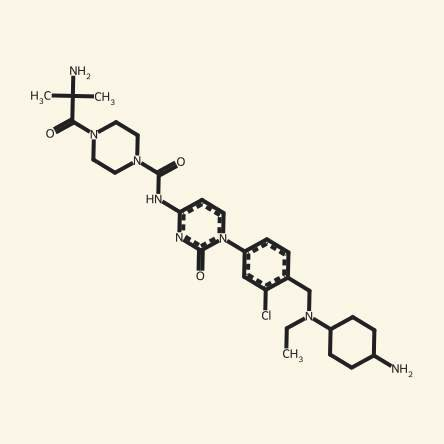 CCN(Cc1ccc(-n2ccc(NC(=O)N3CCN(C(=O)C(C)(C)N)CC3)nc2=O)cc1Cl)C1CCC(N)CC1